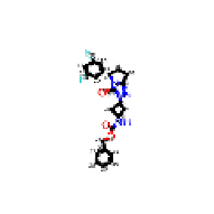 O=C(NC1CC(n2nc3n(c2=O)[C@H](c2cc(F)cc(F)c2)CC3)C1)OCc1ccccc1